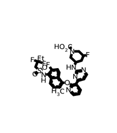 CCC(F)(F)CS(=O)(=O)Nc1c(F)ccc2c(Oc3ncccc3-c3ccnc(NC4CC(F)CN(C(=O)O)C4)n3)c(C)ccc12